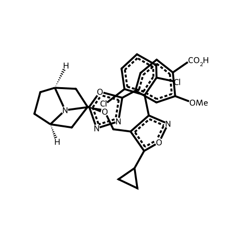 COc1cc(-c2nnc(N3[C@@H]4CC[C@H]3C[C@@H](OCc3c(-c5c(Cl)cccc5Cl)noc3C3CC3)C4)o2)ccc1C(=O)O